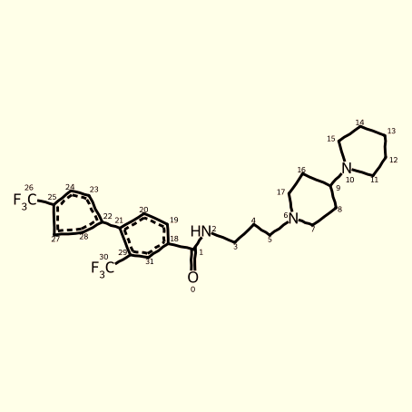 O=C(NCCCN1CCC(N2CCCCC2)CC1)c1ccc(-c2ccc(C(F)(F)F)cc2)c(C(F)(F)F)c1